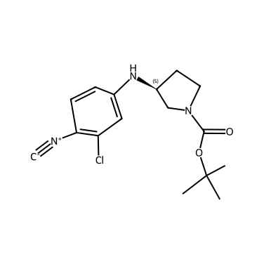 [C-]#[N+]c1ccc(N[C@H]2CCN(C(=O)OC(C)(C)C)C2)cc1Cl